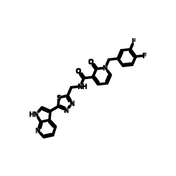 O=C(NCc1nnc(-c2c[nH]c3ncccc23)s1)c1cccn(Cc2ccc(F)c(F)c2)c1=O